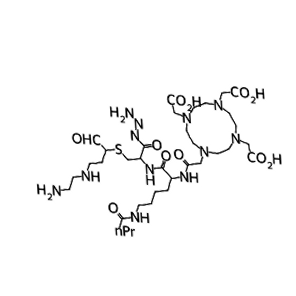 CCCC(=O)NCCCCC(NC(=O)CN1CCN(CC(=O)O)CCN(CC(=O)O)CCN(CC(=O)O)CC1)C(=O)NC(CSC(C=O)CCNCCN)C(=O)N=NN